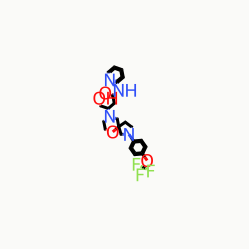 O=C(CC(CO)N1CCOC2(CCN(c3ccc(OC(F)(F)F)cc3)C2)C1)Nc1ccccn1